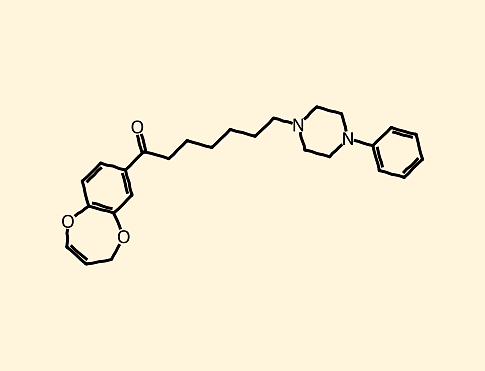 O=C(CCCCCCN1CCN(c2ccccc2)CC1)c1ccc2c(c1)OCC=CO2